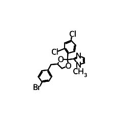 Cn1ccnc1C1(c2ccc(Cl)cc2Cl)OCC(Cc2ccc(Br)cc2)O1